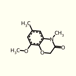 COc1cc(C)cc2c1OCC(=O)N2C